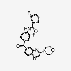 O=C(Nc1ccc(C(=O)c2ccc3ncc(N4CCOCC4)nc3c2)cc1F)c1cccc(F)c1